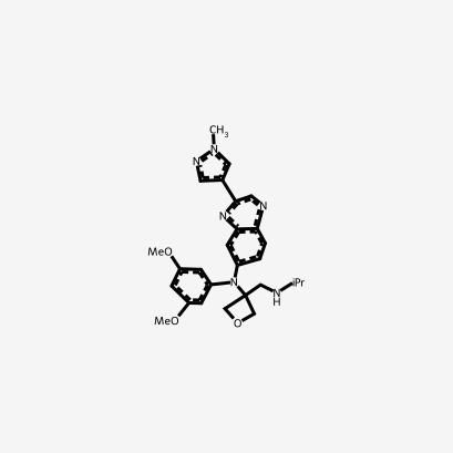 COc1cc(OC)cc(N(c2ccc3ncc(-c4cnn(C)c4)nc3c2)C2(CNC(C)C)COC2)c1